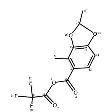 Cc1c(C(=O)OC(=O)C(F)(F)F)ccc2c1OC(C)O2